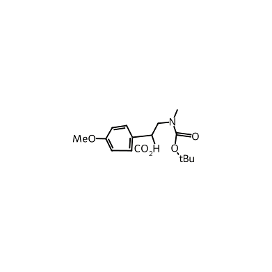 COc1ccc(C(CN(C)C(=O)OC(C)(C)C)C(=O)O)cc1